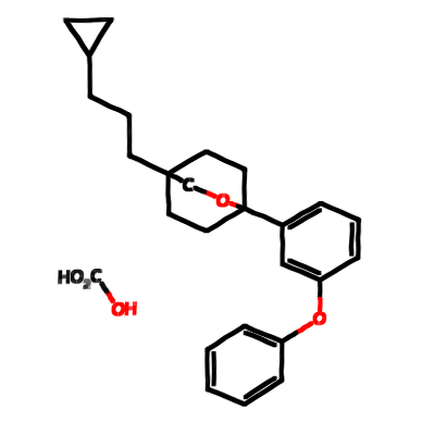 O=C(O)O.c1ccc(Oc2cccc(C34CCC(CCCC5CC5)(CC3)CO4)c2)cc1